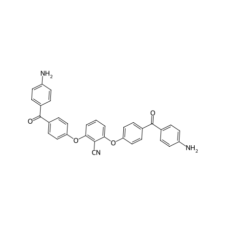 N#Cc1c(Oc2ccc(C(=O)c3ccc(N)cc3)cc2)cccc1Oc1ccc(C(=O)c2ccc(N)cc2)cc1